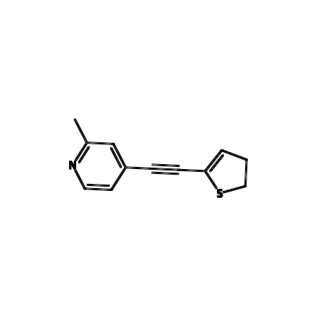 Cc1cc(C#CC2=CCCS2)ccn1